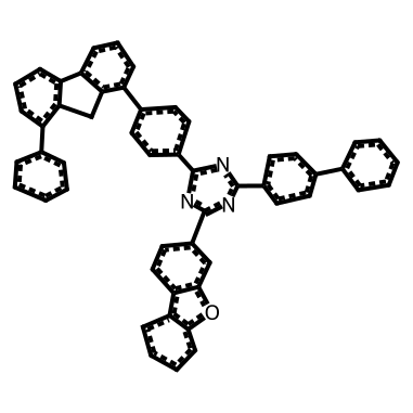 c1ccc(-c2ccc(-c3nc(-c4ccc(-c5cccc6c5Cc5c(-c7ccccc7)cccc5-6)cc4)nc(-c4ccc5c(c4)oc4ccccc45)n3)cc2)cc1